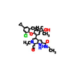 CCNC(=O)c1cc2c([nH]1)C(=C=O)N(C)C=C2c1cc(C(C)(C)O)ccc1Oc1c(C)cc(C2CC2)cc1Cl